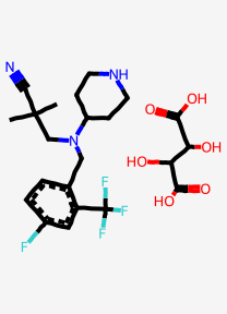 CC(C)(C#N)CN(Cc1ccc(F)cc1C(F)(F)F)C1CCNCC1.O=C(O)C(O)C(O)C(=O)O